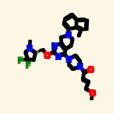 COC/C=C/C(=O)N1CCN(c2nc(OC[C@@H]3CC(F)(F)CN3C)nc3c2CCN(c2cccc4cccc(C)c24)C3)CC1